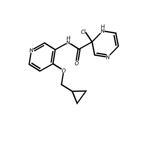 O=C(Nc1cnccc1OCC1CC1)C1(Cl)C=NC=CN1